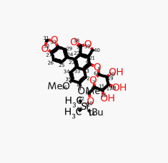 COc1cc2c(OC3OC(CO[Si](C)(C)C(C)(C)C)C(O)C(O)C3O)c3c(c(-c4ccc5c(c4)OCO5)c2cc1OC)C(=O)OC3